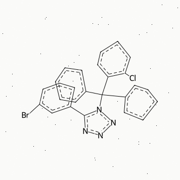 Clc1ccccc1C(c1ccccc1)(c1ccccc1)n1nnnc1-c1cccc(Br)c1